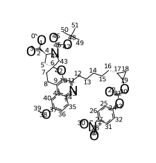 COC(=O)[C@@H]1C[C@]2(CCc3c(c(CCCCC[C@@H]4C[C@H]4OC(=O)Oc4ccc([N+](=O)[O-])cc4)nc4ccc(OC)cc34)O2)CN1C(=O)OC(C)(C)C